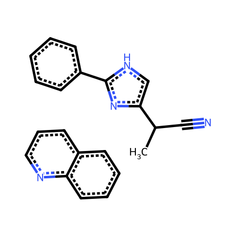 CC(C#N)c1c[nH]c(-c2ccccc2)n1.c1ccc2ncccc2c1